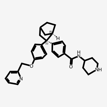 O=C(NC1CCNCC1)c1ccc([C@]2(c3ccc(OCc4ccccn4)cc3)CC3CC[C@@H]2C3)cc1